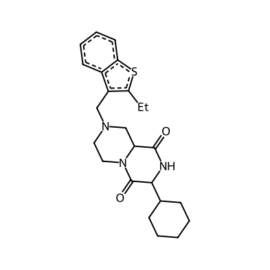 CCc1sc2ccccc2c1CN1CCN2C(=O)C(C3CCCCC3)NC(=O)C2C1